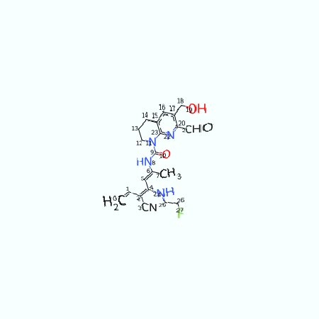 C=C/C(C#N)=C(\C=C(/C)NC(=O)N1CCCc2cc(CO)c(C=O)nc21)NCCF